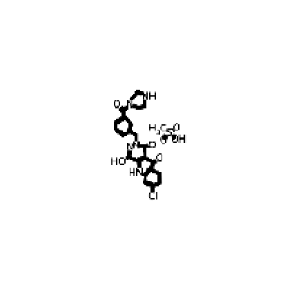 CS(=O)(=O)O.O=C(c1cccc(Cn2nc(O)c3[nH]c4cc(Cl)ccc4c(=O)c3c2=O)c1)N1CCNCC1